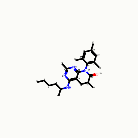 CCCCC(C)Nc1nc(C)nc2c1CC(C)C(=O)N2c1c(C)cc(C)cc1C